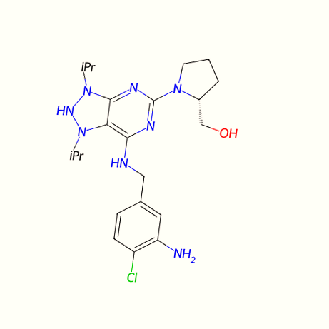 CC(C)N1NN(C(C)C)c2c(NCc3ccc(Cl)c(N)c3)nc(N3CCC[C@@H]3CO)nc21